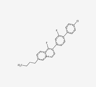 CCCCc1ccc2c(F)c(-c3ccc(-c4ccc(Cl)cc4)c(F)c3)ccc2c1